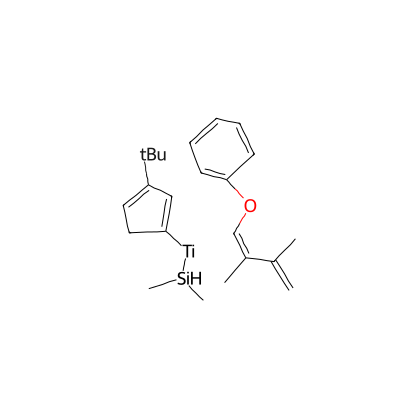 C=C(C)C(C)=COc1ccccc1.C[SiH](C)[Ti][C]1=CC(C(C)(C)C)=CC1